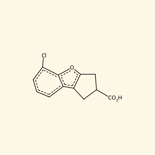 O=C(O)C1Cc2oc3c(Cl)cccc3c2C1